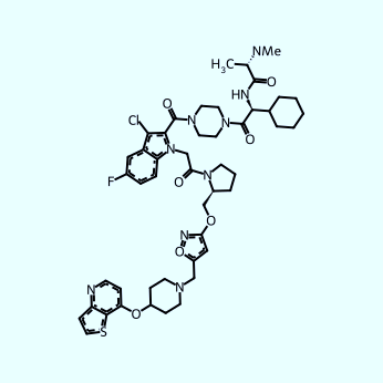 CN[C@@H](C)C(=O)N[C@H](C(=O)N1CCN(C(=O)c2c(Cl)c3cc(F)ccc3n2CC(=O)N2CCC[C@H]2COc2cc(CN3CCC(Oc4ccnc5ccsc45)CC3)on2)CC1)C1CCCCC1